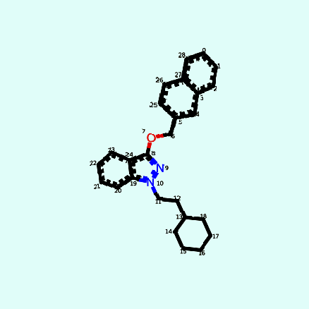 c1ccc2cc(COc3nn(CCC4CCCCC4)c4ccccc34)ccc2c1